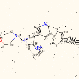 COc1ccc(-c2cncc(-c3cn(CCN4CCOCC4)c4cccnc34)c2)cc1